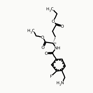 CCOC(=O)CC[C@H](NC(=O)c1ccc(CN)c(F)c1)C(=O)OCC